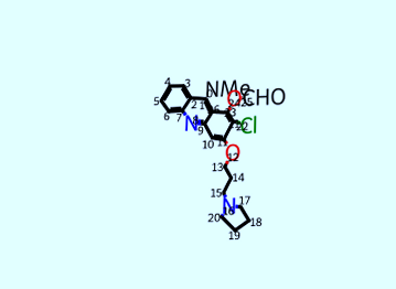 CNc1c2ccccc2nc2cc(OCCCN3CCCC3)c(Cl)c(OC=O)c12